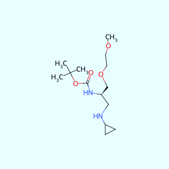 COCCOC[C@@H](CNC1CC1)NC(=O)OC(C)(C)C